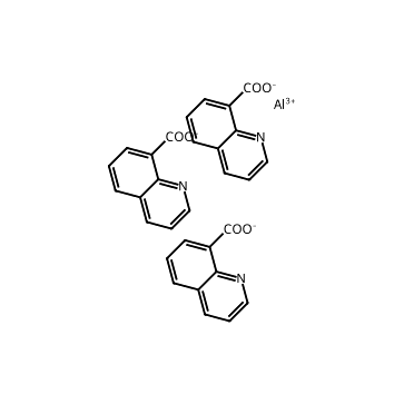 O=C([O-])c1cccc2cccnc12.O=C([O-])c1cccc2cccnc12.O=C([O-])c1cccc2cccnc12.[Al+3]